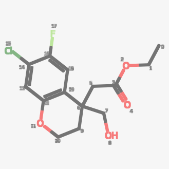 CCOC(=O)CC1(CO)CCOc2cc(Cl)c(F)cc21